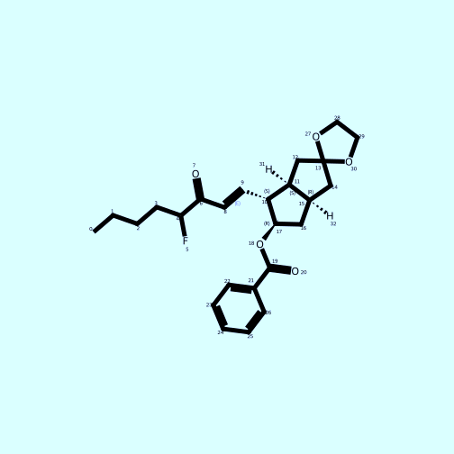 CCCCC(F)C(=O)/C=C/[C@@H]1[C@H]2CC3(C[C@H]2C[C@H]1OC(=O)c1ccccc1)OCCO3